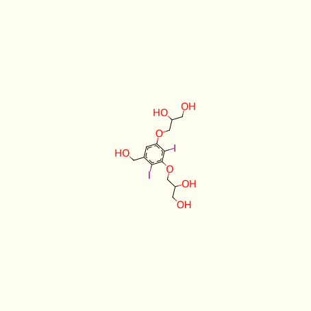 OCc1cc(OCC(O)CO)c(I)c(OCC(O)CO)c1I